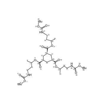 CC(CCNC(=O)OC(C)(C)C)OC(=O)[C@H]1C[C@@H](C(=O)OC(C)CCNC(=O)OC(C)(C)C)C[C@@H](C(=O)OC(C)CCNC(=O)OC(C)(C)C)C1